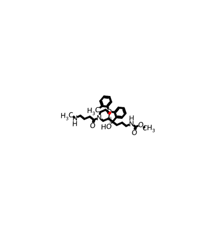 CNCCCC(=O)N1CCC[C@@H]([C@@](O)(CCCNC(=O)OC)c2ccccc2Oc2ccccc2C)C1